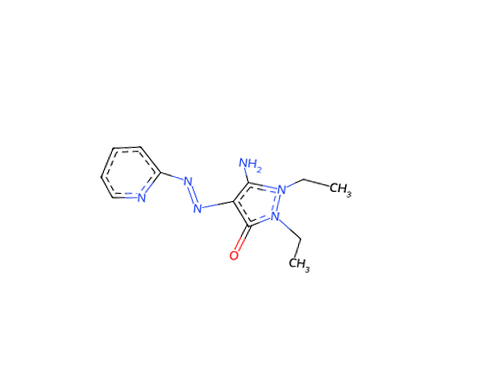 CCn1c(N)c(/N=N/c2ccccn2)c(=O)n1CC